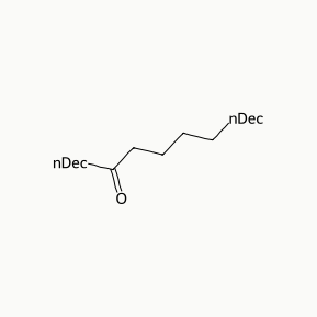 CCCCCCCCCCCCCCC(=O)CCCCCCCCCC